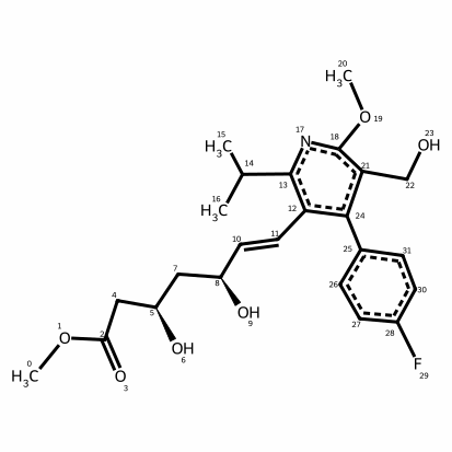 COC(=O)C[C@H](O)C[C@H](O)/C=C/c1c(C(C)C)nc(OC)c(CO)c1-c1ccc(F)cc1